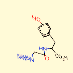 [N-]=[N+]=NCC(=O)NC(Cc1ccc(O)cc1)C(=O)O